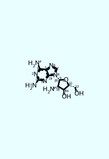 Nc1nc(N)c2ncn([C@@H]3O[C@H](CO)[C@@H](O)[C@@H]3N)c2n1